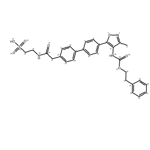 Cc1noc(-c2ccc(-c3ccc(CC(=O)NCCS(=O)(=O)O)cc3)cc2)c1NC(=O)OCCc1ccccc1